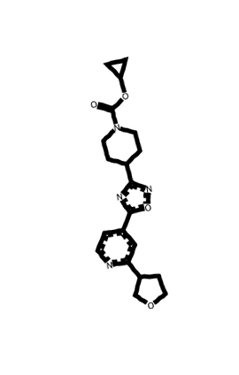 O=C(OC1CC1)N1CCC(c2noc(-c3ccnc(C4CCOC4)c3)n2)CC1